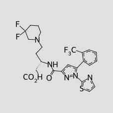 O=C(O)C[C@H](CCN1CCCC(F)(F)C1)NC(=O)c1cc(-c2ccccc2C(F)(F)F)n(-c2nccs2)n1